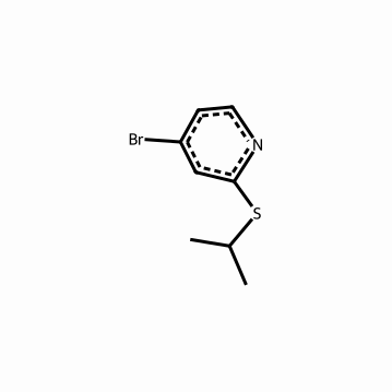 CC(C)Sc1cc(Br)ccn1